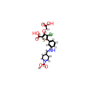 COC(=O)N1CCC(CNc2cccc(-c3sc(C(=O)O)c(OCC(=O)O)c3Br)c2)CC1